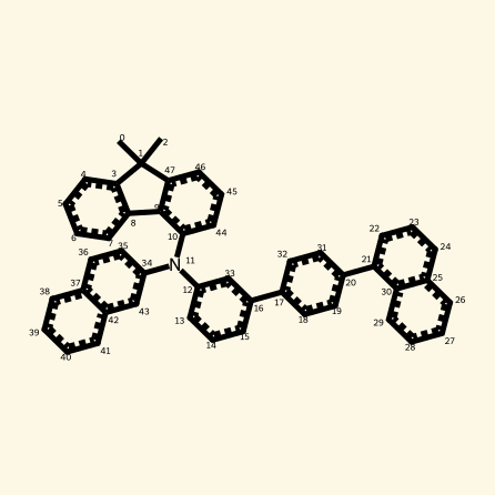 CC1(C)c2ccccc2-c2c(N(c3cccc(-c4ccc(-c5cccc6ccccc56)cc4)c3)c3ccc4ccccc4c3)cccc21